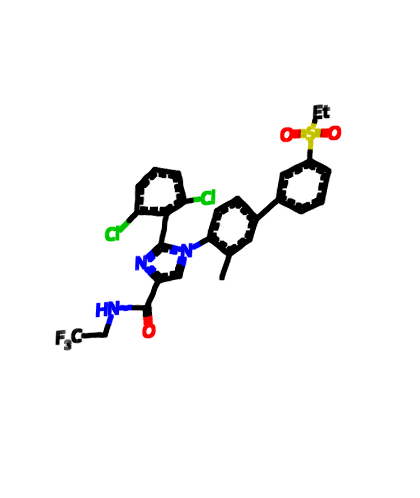 CCS(=O)(=O)c1cccc(-c2ccc(-n3cc(C(=O)NCC(F)(F)F)nc3-c3c(Cl)cccc3Cl)c(C)c2)c1